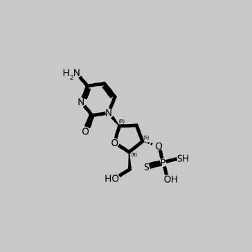 Nc1ccn([C@H]2C[C@H](OP(O)(=S)S)[C@@H](CO)O2)c(=O)n1